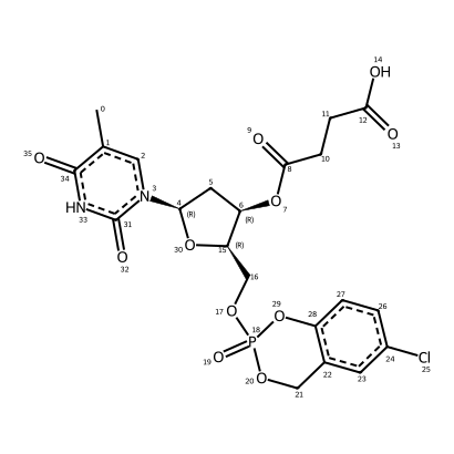 Cc1cn([C@H]2C[C@@H](OC(=O)CCC(=O)O)[C@@H](COP3(=O)OCc4cc(Cl)ccc4O3)O2)c(=O)[nH]c1=O